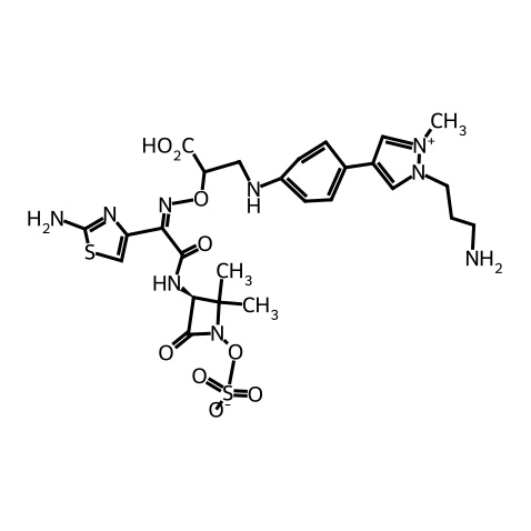 C[n+]1cc(-c2ccc(NCC(O/N=C(\C(=O)N[C@@H]3C(=O)N(OS(=O)(=O)[O-])C3(C)C)c3csc(N)n3)C(=O)O)cc2)cn1CCCN